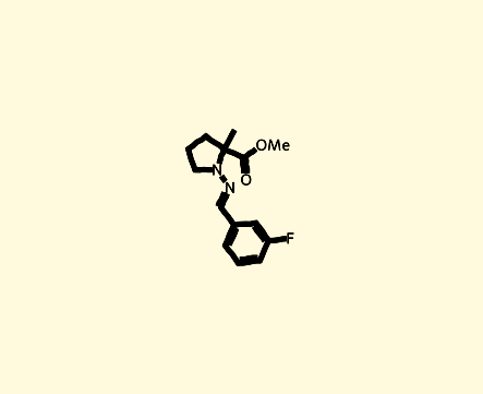 COC(=O)C1(C)CCCN1N=Cc1cccc(F)c1